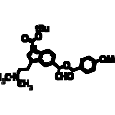 COc1ccc(COC(C=O)c2ccc3c(c2)c(CCN(C)C)cn3C(=O)OC(C)(C)C)cc1